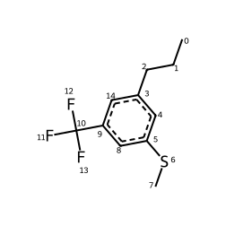 CCCc1cc(SC)cc(C(F)(F)F)c1